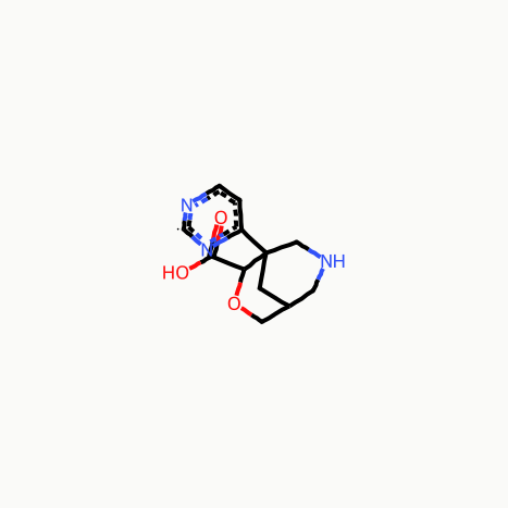 O=C(O)C1OCC2CNCC1(c1ccn[c]n1)C2